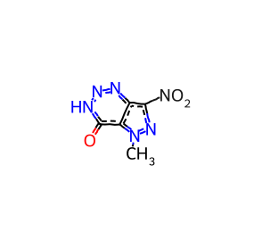 Cn1nc([N+](=O)[O-])c2nn[nH]c(=O)c21